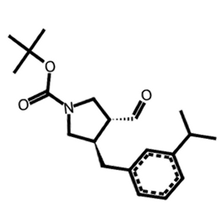 CC(C)c1cccc(C[C@H]2CN(C(=O)OC(C)(C)C)C[C@@H]2C=O)c1